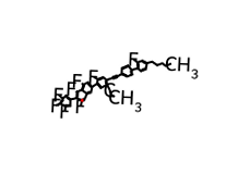 CCCCCc1ccc(-c2ccc(C#Cc3cc(F)c(-c4cc(F)c5c(F)c(-c6cc(F)c(F)c(F)c6)c(F)cc5c4)cc3CCC)cc2)c(F)c1